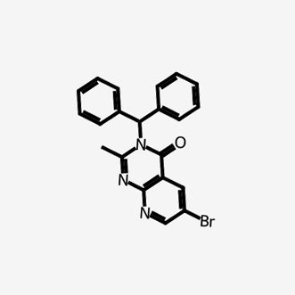 Cc1nc2ncc(Br)cc2c(=O)n1C(c1ccccc1)c1ccccc1